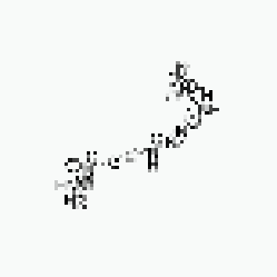 Cc1nc(NC(=O)c2ccccc2NC(=O)CCOCCOCCNC(=O)CN2CCN(c3ccc(Nc4ncc5cc(C(=O)N(C)C)n(C6CCCC6)c5n4)nc3)CC2)sc1C